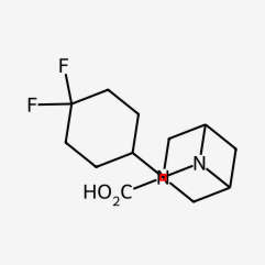 O=C(O)N1CC2CC(C1)N2CC1CCC(F)(F)CC1